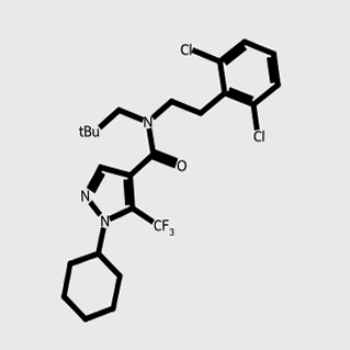 CC(C)(C)CN(CCc1c(Cl)cccc1Cl)C(=O)c1cnn(C2CCCCC2)c1C(F)(F)F